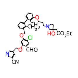 CCOC(=O)CC1(O)CCN(CCCOc2cccc(-c3cccc(COc4cc(OCc5cncc(C#N)c5)c(C=O)cc4Cl)c3C)c2C)C1